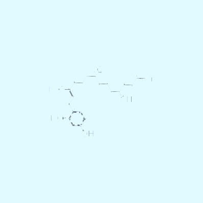 C/C(=C\Cc1ccc(O)cc1O)CCCC(C)CCCC(C)CCCC(C)C